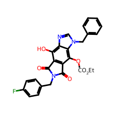 CCOC(=O)Oc1c2c(c(O)c3ncn(Cc4ccccc4)c13)C(=O)N(Cc1ccc(F)cc1)C2=O